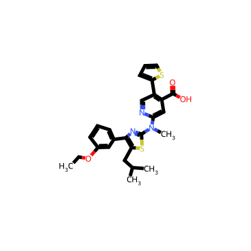 CCOc1cccc(-c2nc(N(C)c3cc(C(=O)O)c(-c4cccs4)cn3)sc2CC(C)C)c1